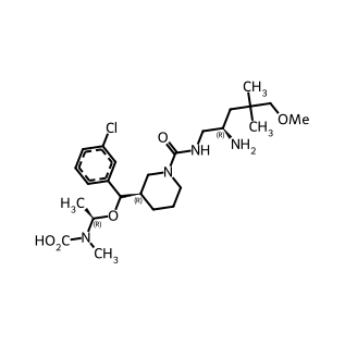 COCC(C)(C)C[C@@H](N)CNC(=O)N1CCC[C@@H](C(O[C@H](C)N(C)C(=O)O)c2cccc(Cl)c2)C1